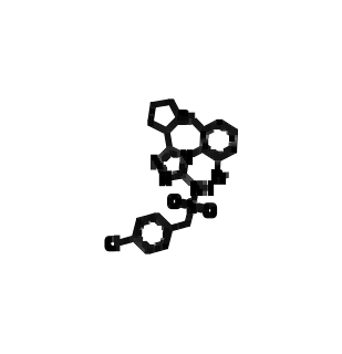 O=S(=O)(Cc1ccc(Cl)cc1)Nc1nnc(C2CCCC2)n1-c1c(Br)cccc1Br